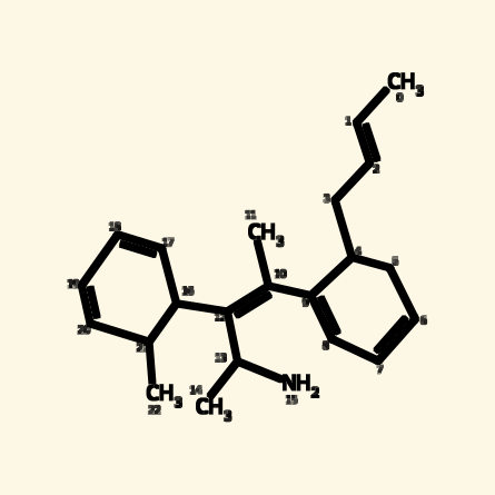 CC=CCC1CC=CC=C1/C(C)=C(\C(C)N)C1C=CC=CC1C